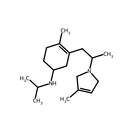 CC1=CCN(C(C)CC2=C(C)CCC(NC(C)C)C2)C1